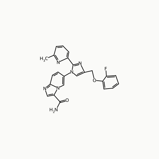 Cc1cccc(-c2nc(COc3ccccc3F)cn2-c2ccc3ncc(C(N)=O)n3c2)n1